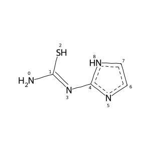 NC(S)=Nc1ncc[nH]1